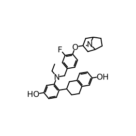 CCN(Cc1ccc(OC2CC3CCC(C2)N3C)c(F)c1)c1cc(O)ccc1C1CCc2cc(O)ccc2C1